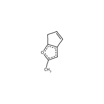 Cc1cc2c(o1)CC=C2